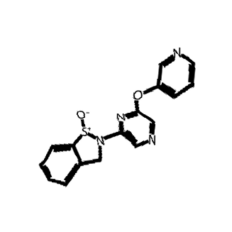 [O-][S+]1c2ccccc2CN1c1cncc(Oc2cccnc2)n1